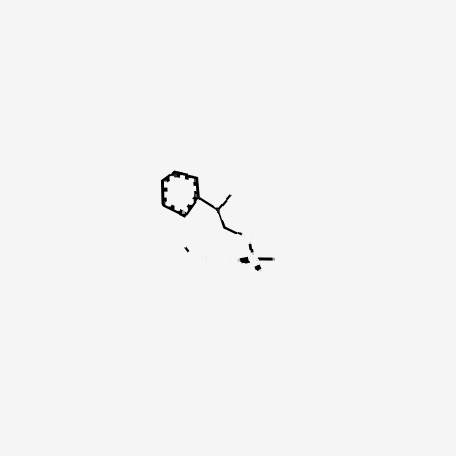 CCO.CS(=O)(=O)OCC(F)c1ccccc1